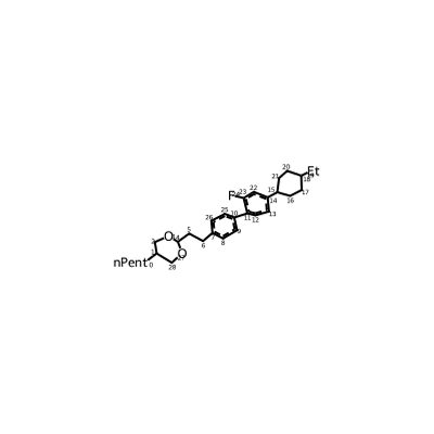 CCCCCC1COC(CCc2ccc(-c3ccc(C4CCC(CC)CC4)cc3F)cc2)OC1